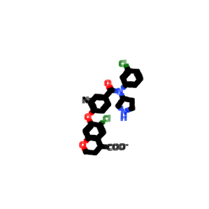 O=C([O-])C1CCOc2cc(Oc3ccc(C(=O)N(c4cccc(Cl)c4)C4CCNC4)cc3)c(Cl)cc21.[Na+]